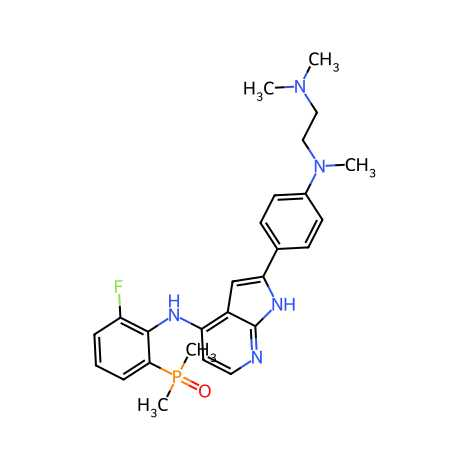 CN(C)CCN(C)c1ccc(-c2cc3c(Nc4c(F)cccc4P(C)(C)=O)ccnc3[nH]2)cc1